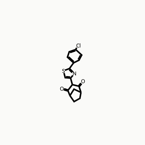 O=C1C2CCC(C2)C(=O)C1c1csc(-c2ccc(Cl)cc2)n1